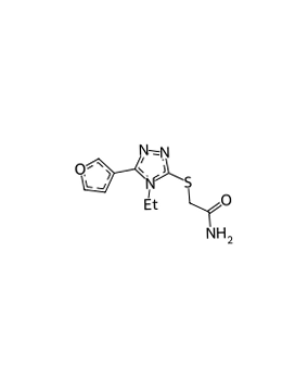 CCn1c(SCC(N)=O)nnc1-c1ccoc1